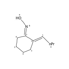 CCCC=C1CCCCC1=NO